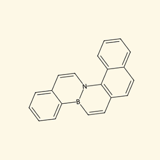 C1=Cc2ccc3ccccc3c2N2C=Cc3ccccc3B12